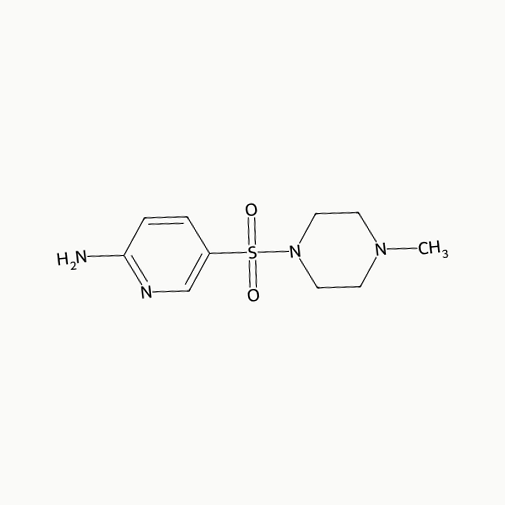 CN1CCN(S(=O)(=O)c2ccc(N)nc2)CC1